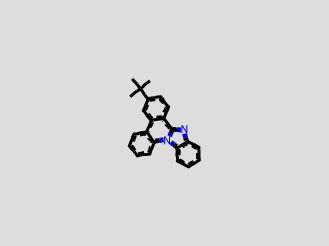 CC(C)(C)c1ccc2c(c1)c1ccccc1n1c3ccccc3nc21